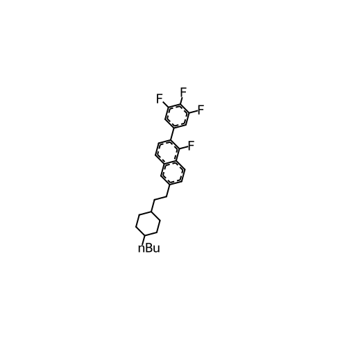 CCCCC1CCC(CCc2ccc3c(F)c(-c4cc(F)c(F)c(F)c4)ccc3c2)CC1